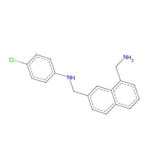 NCc1cccc2ccc(CNc3ccc(Cl)cc3)cc12